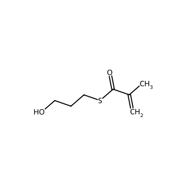 C=C(C)C(=O)SCCCO